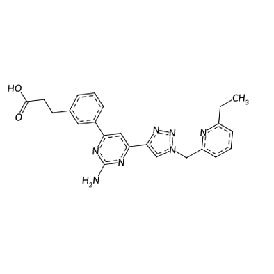 CCc1cccc(Cn2cc(-c3cc(-c4cccc(CCC(=O)O)c4)nc(N)n3)nn2)n1